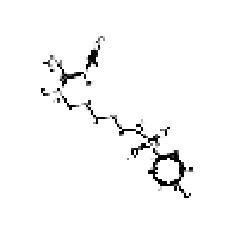 Cc1ccc(S(=O)(=O)OCCCCCN(C)C(N)=NC#N)cc1